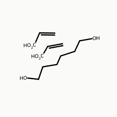 C=CC(=O)O.C=CC(=O)O.OCCCCCCO